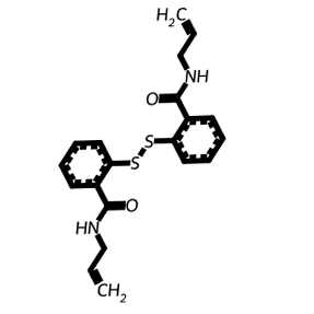 C=CCNC(=O)c1ccccc1SSc1ccccc1C(=O)NCC=C